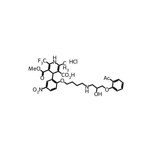 COC(=O)C1=C(C(F)(F)F)NC(C)=C(C(=O)O)C1c1cc([N+](=O)[O-])ccc1OCCCCNCC(O)COc1ccccc1C(C)=O.Cl